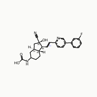 N#C[C@@]1(O)C[C@@H]2CC(NC(=O)O)CC[C@H]2[C@@H]1/C=C/c1ccc(-c2cccc(F)c2)cn1